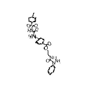 Cc1ccc(S(=O)(=O)NC(=O)Nc2ccc(C(=O)OCCNC(=O)N(S)c3ccccc3)cc2)cc1